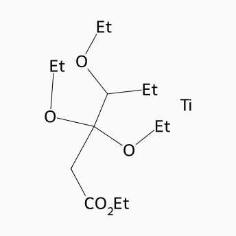 CCOC(=O)CC(OCC)(OCC)C(CC)OCC.[Ti]